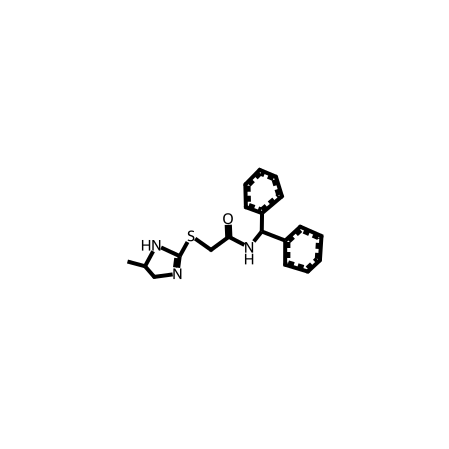 CC1CN=C(SCC(=O)NC(c2ccccc2)c2ccccc2)N1